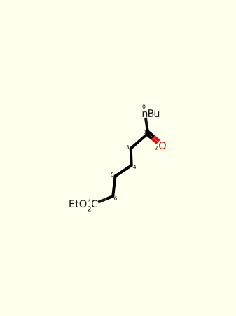 CCCCC(=O)CCCCC(=O)OCC